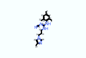 Cc1cc(C)c(NC(=NC#N)NCCCn2cnc(C)c2)c(C)c1